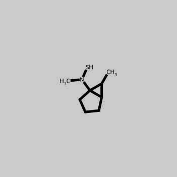 CC1C2CCCC12N(C)S